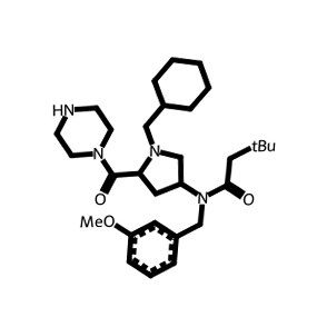 COc1cccc(CN(C(=O)CC(C)(C)C)C2CC(C(=O)N3CCNCC3)N(CC3CCCCC3)C2)c1